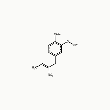 CC=C(Cc1ccc(OC)c(OCCC)c1)[N+](=O)[O-]